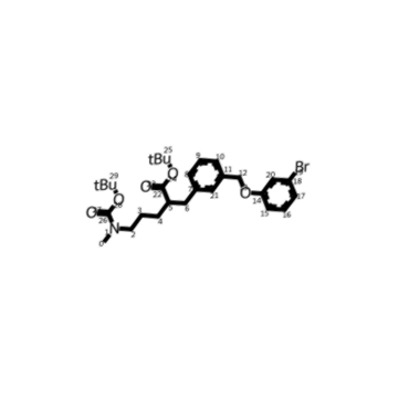 CN(CCCC(Cc1cccc(COc2cccc(Br)c2)c1)C(=O)OC(C)(C)C)C(=O)OC(C)(C)C